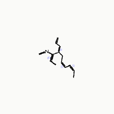 C=C/C=C(C/C=C\C=C/C)\C(=C/C)N=C